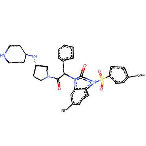 COc1ccc(S(=O)(=O)n2c(=O)n(C(C(=O)N3CC[C@H](NC4CCNCC4)C3)c3ccccc3)c3cc(C#N)ccc32)cc1